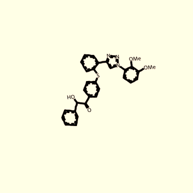 COc1cccc(-n2cc(-c3ccccc3Sc3ccc(C(=O)C(O)c4ccccc4)cc3)nn2)c1OC